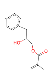 C=C(C)C(=O)OCC(O)Cc1cc[c]cc1